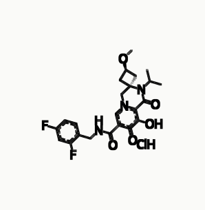 CO[C@H]1C[C@]2(Cn3cc(C(=O)NCc4ccc(F)cc4F)c(=O)c(O)c3C(=O)N2C(C)C)C1.Cl